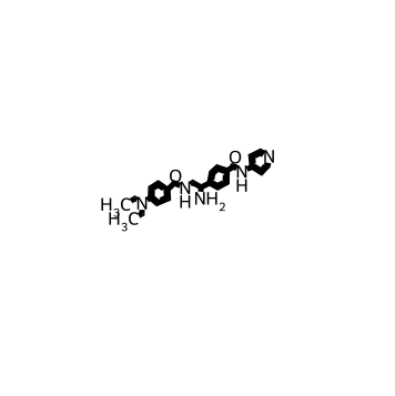 CCN(CC)c1ccc(C(=O)NCC(N)c2ccc(C(=O)Nc3ccncc3)cc2)cc1